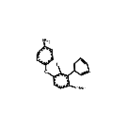 COc1ccc(Oc2ccc([N+](=O)[O-])cc2)c(F)c1C1C=[C]C=CC1